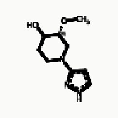 CO[C@@H]1CN(c2cc[nH]n2)CCC1O